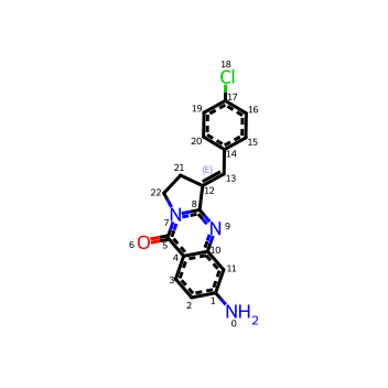 Nc1ccc2c(=O)n3c(nc2c1)/C(=C/c1ccc(Cl)cc1)CC3